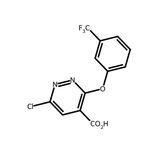 O=C(O)c1cc(Cl)nnc1Oc1cccc(C(F)(F)F)c1